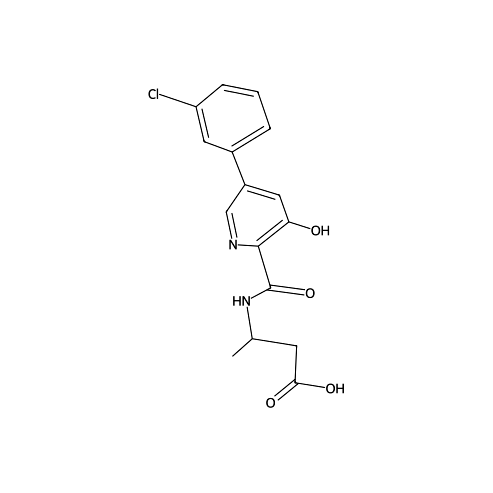 CC(CC(=O)O)NC(=O)c1ncc(-c2cccc(Cl)c2)cc1O